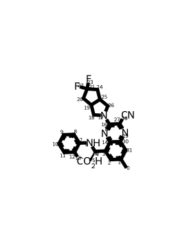 Cc1cc([C@@H](C)Nc2ccccc2C(=O)O)c2nc(N3CC4CC(F)(F)CC4C3)c(C#N)nc2c1